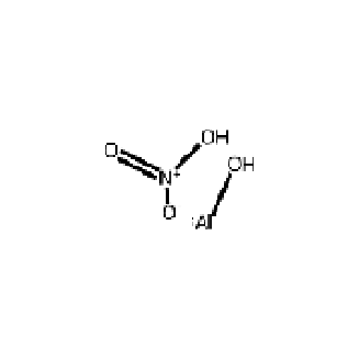 O=[N+]([O-])O.[OH][Al]